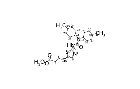 COC(=O)CCSc1cnc(NC(=O)N(C2CCC(C)CC2)C2CCC(C)CC2)s1